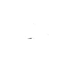 c1ccc2c(c1)CNC(N[C@@H]1CCc3ccccc31)=N2